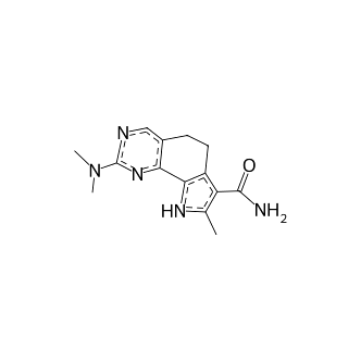 Cc1[nH]c2c(c1C(N)=O)CCc1cnc(N(C)C)nc1-2